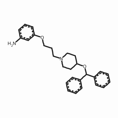 Nc1cccc(OCCCN2CCC(OC(c3ccccc3)c3ccccc3)CC2)c1